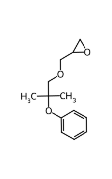 CC(C)(COCC1CO1)Oc1ccccc1